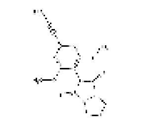 CC#Cc1cc(OC)c(C2C(=O)N3CCCN3C2=O)c(OC)c1